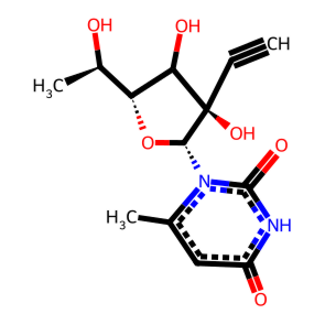 C#C[C@@]1(O)C(O)[C@@H]([C@@H](C)O)O[C@H]1n1c(C)cc(=O)[nH]c1=O